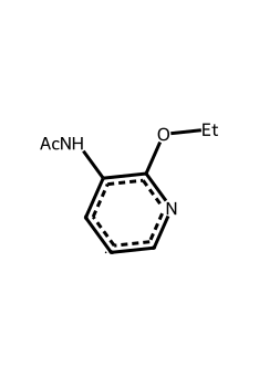 CCOc1nc[c]cc1NC(C)=O